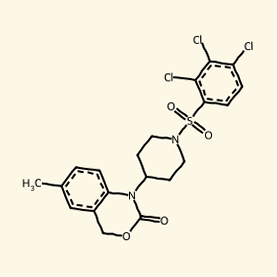 Cc1ccc2c(c1)COC(=O)N2C1CCN(S(=O)(=O)c2ccc(Cl)c(Cl)c2Cl)CC1